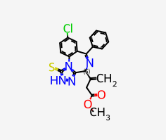 C=C(CC(=O)OC)[C@@H]1N=C(c2ccccc2)c2cc(Cl)ccc2-n2c1n[nH]c2=S